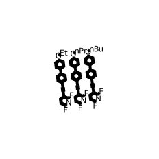 CCCCOc1ccc(-c2ccc(C#Cc3ccc(F)nc3F)cc2)cc1.CCCOc1ccc(-c2ccc(C#Cc3ccc(F)nc3F)cc2)cc1.CCOc1ccc(-c2ccc(C#Cc3ccc(F)nc3F)cc2)cc1